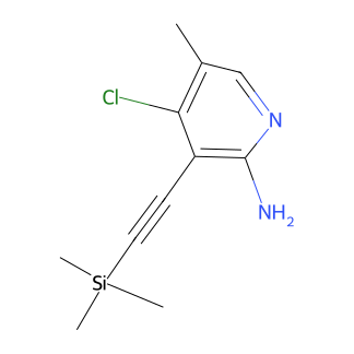 Cc1cnc(N)c(C#C[Si](C)(C)C)c1Cl